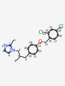 Cc1nccn1CC(C)Cc1ccc(OCc2ccc(Cl)cc2Cl)cc1